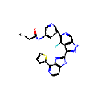 CCC(=O)Nc1cncc(-c2ncc3[nH]nc(-c4nc5c(-c6cccs6)nccc5[nH]4)c3c2F)c1